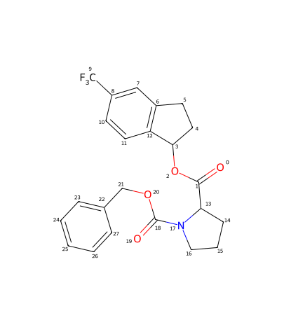 O=C(OC1CCc2cc(C(F)(F)F)ccc21)C1CCCN1C(=O)OCc1ccccc1